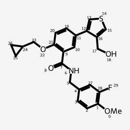 COc1ccc(CNC(=O)c2cc(-c3cscc3CO)ccc2OCC2CC2)cc1F